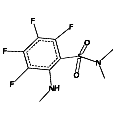 CNc1c(F)c(F)c(F)c(F)c1S(=O)(=O)N(C)C